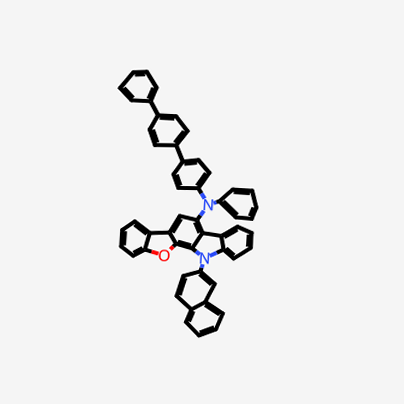 c1ccc(-c2ccc(-c3ccc(N(c4ccccc4)c4cc5c6ccccc6oc5c5c4c4ccccc4n5-c4ccc5ccccc5c4)cc3)cc2)cc1